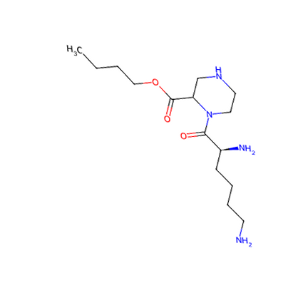 CCCCOC(=O)C1CNCCN1C(=O)[C@@H](N)CCCCN